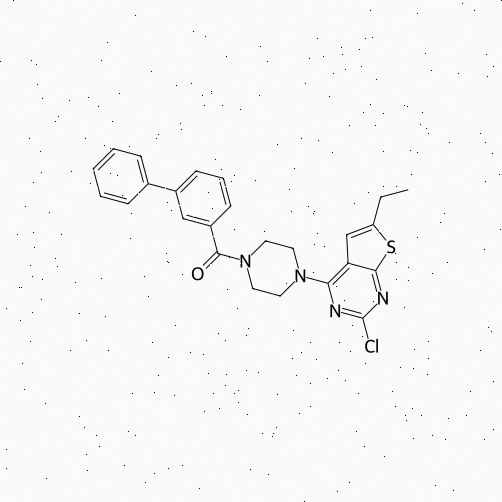 CCc1cc2c(N3CCN(C(=O)c4cccc(-c5ccccc5)c4)CC3)nc(Cl)nc2s1